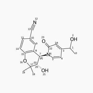 CC(O)c1ccn([C@@H]2c3cc(C#N)ccc3OC(C)(C)[C@H]2O)c(=O)c1